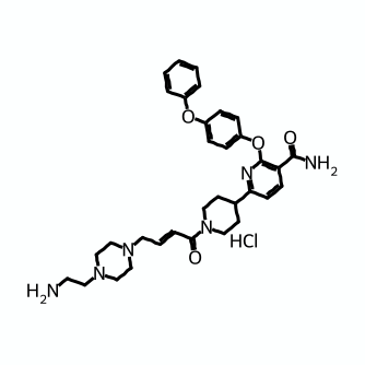 Cl.NCCN1CCN(C/C=C/C(=O)N2CCC(c3ccc(C(N)=O)c(Oc4ccc(Oc5ccccc5)cc4)n3)CC2)CC1